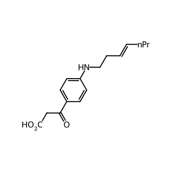 CCC/C=C/CCNc1ccc(C(=O)CC(=O)O)cc1